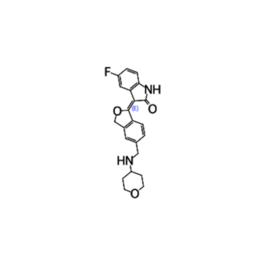 O=C1Nc2ccc(F)cc2/C1=C1\OCc2cc(CNC3CCOCC3)ccc21